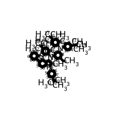 CCc1cc(N(c2ccc(C(C)(C)C)cc2)c2ccc(C(C)(C)C)cc2C)c(C)c(N(c2ccc(C(C)(C)C)cc2)c2c(C)n(-c3ccc(C(C)(C)C)cc3)c3ccc4c5ccccc5sc4c23)c1